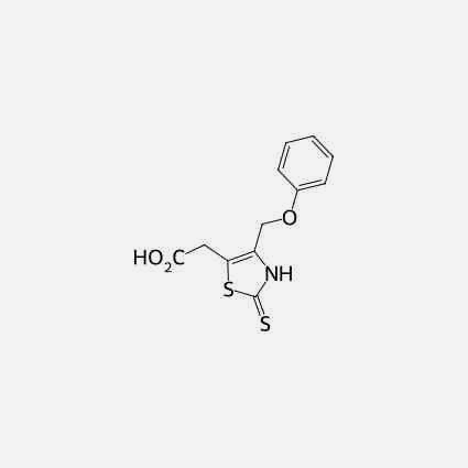 O=C(O)Cc1sc(=S)[nH]c1COc1ccccc1